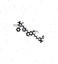 C=C(Nc1ccccc1)C1(C(=O)N/C=C/C=C(\C=N/C)Oc2ccnc3cc(CCCCN4CC(N=O)C5(CC5)C4)c(CC)cc23)CC1